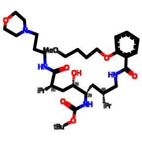 COCCCCOc1ccccc1C(=O)NC[C@@H](C[C@H](NC(=O)OC(C)(C)C)[C@@H](O)C[C@H](C(=O)NCCCN1CCOCC1)C(C)C)C(C)C